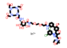 COc1cc2c(cc1-c1cccc(NC(=O)CCOCCOCCNC(=O)[C@H]3O[C@@H](CNC(=O)CN4CCN(CC(=O)[O-])CCN(CC(=O)[O-])CCN(CC(=O)[O-])CC4)[C@H](O)[C@@H](O)[C@H]3O)c1)-c1c(c(C(=O)N3CCOCC3(C)C)nn1-c1cc(Cl)cc(Cl)c1)CO2.[In+3]